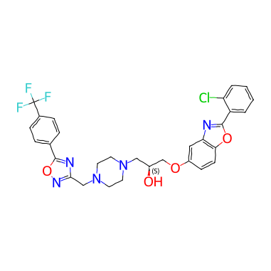 O[C@H](COc1ccc2oc(-c3ccccc3Cl)nc2c1)CN1CCN(Cc2noc(-c3ccc(C(F)(F)F)cc3)n2)CC1